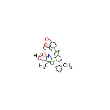 COc1cc(/C(F)=C/C2(c3cc(C)c(C=O)c(OC)n3)C=CC=C(c3ccccc3C)C2Cl)ccc1C=O